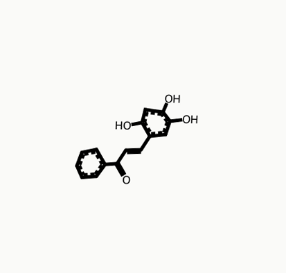 O=C(C=Cc1cc(O)c(O)cc1O)c1ccccc1